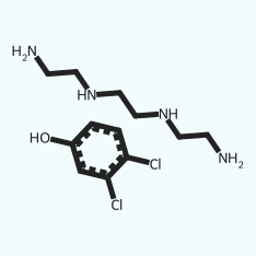 NCCNCCNCCN.Oc1ccc(Cl)c(Cl)c1